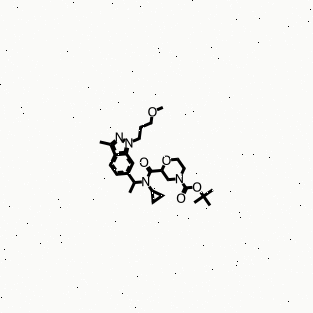 COCCCn1nc(C)c2ccc(C(C)N(C(=O)C3CN(C(=O)OC(C)(C)C)CCO3)C3CC3)cc21